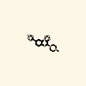 CN1CCN(c2nc3ccc(-c4nn[nH]n4)cc3n3nnnc23)CC1